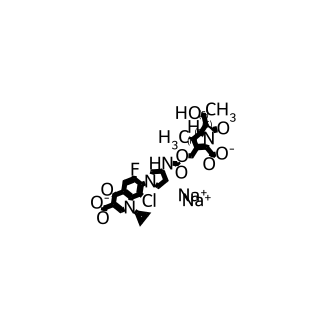 C[C@H](O)[C@H]1C(=O)N2C(C(=O)[O-])=C(COC(=O)NC3CCN(c4c(F)cc5c(=O)c(C(=O)[O-])cn(C6CC6)c5c4Cl)C3)[C@@H](C)[C@@H]12.[Na+].[Na+]